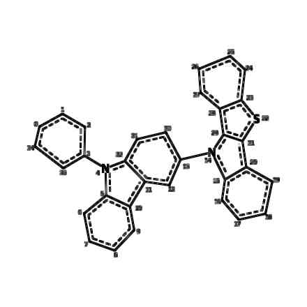 c1ccc(-n2c3ccccc3c3cc(-n4c5ccccc5c5sc6ccccc6c54)ccc32)cc1